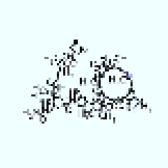 COc1cc2cc(c1Cl)N(C)C(=O)C[C@H](OC(=O)[C@H](C)N(C)C(=O)c1cc(F)c(NC(=O)[C@H](CCCNC(N)=O)NC(=O)[C@@H](NC(=O)CCCCC(C)(C)OC(=O)C(CBr)CBr)C(C)C)cc1F)[C@]1(C)O[C@H]1[C@H](C)[C@@H]1C[C@@](O)(NC(=O)O1)[C@H](OC)/C=C/C=C(\C)C2